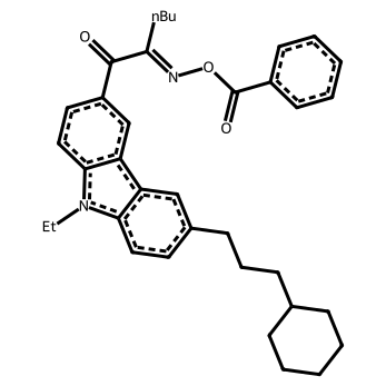 CCCCC(=NOC(=O)c1ccccc1)C(=O)c1ccc2c(c1)c1cc(CCCC3CCCCC3)ccc1n2CC